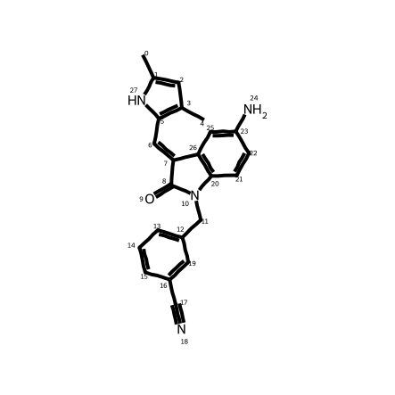 Cc1cc(C)c(C=C2C(=O)N(Cc3cccc(C#N)c3)c3ccc(N)cc32)[nH]1